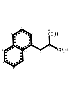 CCOC(=O)C(Cc1cccc2ccccc12)C(=O)O